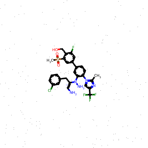 Cc1nc(C(F)(F)F)cn1-c1ccc(-c2cc(F)c(CO)c(S(C)(=O)=O)c2)cc1N(N)/C(=C\N)Cc1cccc(Cl)c1